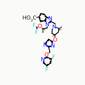 C[C@H](Cn1c(CN2CC[C@H](Oc3ccnc(COc4ncc(F)cc4F)n3)C[C@@H]2C)nc2ccc(C(=O)O)cc21)OC(F)F